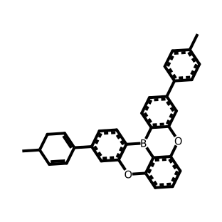 Cc1ccc(-c2ccc3c(c2)Oc2cccc4c2B3c2ccc(C3=CCC(C)C=C3)cc2O4)cc1